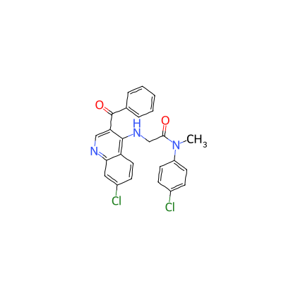 CN(C(=O)CNc1c(C(=O)c2ccccc2)cnc2cc(Cl)ccc12)c1ccc(Cl)cc1